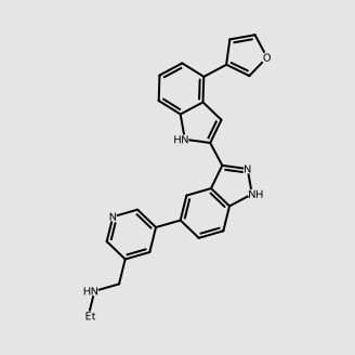 CCNCc1cncc(-c2ccc3[nH]nc(-c4cc5c(-c6ccoc6)cccc5[nH]4)c3c2)c1